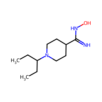 CCC(CC)N1CCC(C(=N)NO)CC1